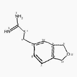 N=C(N)SCc1ccc2c(c1)COC2